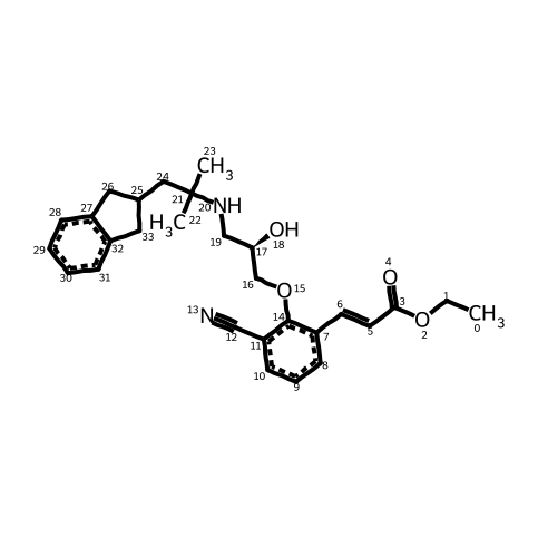 CCOC(=O)/C=C/c1cccc(C#N)c1OC[C@H](O)CNC(C)(C)CC1Cc2ccccc2C1